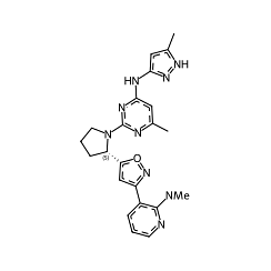 CNc1ncccc1-c1cc([C@@H]2CCCN2c2nc(C)cc(Nc3cc(C)[nH]n3)n2)on1